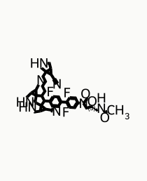 CC(=O)NC[C@H]1CN(c2cc(F)c(-c3ccc(C(C(CCCCC45CNCC4C5C#N)C45CNCC4C5C#N)C45CNCC4C5C#N)c(F)c3)c(F)c2)C(=O)O1